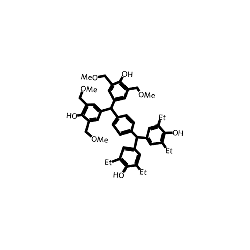 CCc1cc(C(c2ccc(C(c3cc(COC)c(O)c(COC)c3)c3cc(COC)c(O)c(COC)c3)cc2)c2cc(CC)c(O)c(CC)c2)cc(CC)c1O